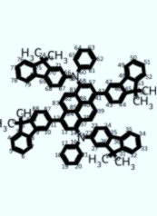 CC1(C)c2ccccc2-c2cc(-c3cc(N(c4ccccc4)c4ccc5c(c4)C(C)(C)c4ccccc4-5)c4ccc5c(-c6ccc7c(c6)-c6ccccc6C7(C)C)cc(N(c6ccccc6)c6ccc7c(c6)C(C)(C)c6ccccc6-7)c6ccc3c4c56)ccc21